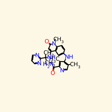 Cc1cnc(C(N)=O)c(C)c1Nc1ccc2c(c1)c(NC(C)(C)c1ncccn1)cc(=O)n2C